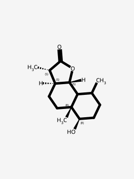 CC1CC[C@@H](O)[C@]2(C)CC[C@H]3[C@H](C)C(=O)O[C@@H]3C12